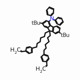 C=Cc1ccc(CCCCCCC2(CCCCCCc3ccc(C=C)cc3)c3cc(C(C)(C)C)ccc3-c3c(N(c4ccccc4)c4ccccc4)cc(C(C)(C)C)cc32)cc1